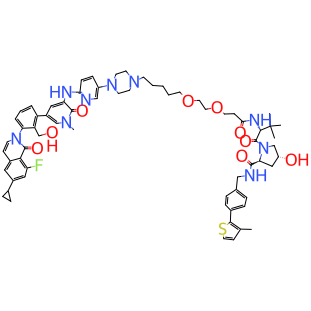 Cc1ccsc1-c1ccc(CNC(=O)[C@@H]2C[C@@H](O)CN2C(=O)[C@@H](NC(=O)CCOCCOCCCCCN2CCN(c3ccc(Nc4cc(-c5cccc(-n6ccc7cc(C8CC8)cc(F)c7c6=O)c5CO)cn(C)c4=O)nc3)CC2)C(C)(C)C)cc1